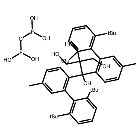 Cc1ccc(C(O)(c2ccc(C)cc2-c2c(C(C)(C)C)cccc2C(C)(C)C)C(CO)(CO)CO)c(-c2c(C(C)(C)C)cccc2C(C)(C)C)c1.OP(O)OP(O)O